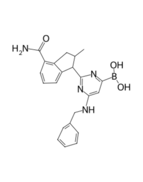 CC1Cc2c(C(N)=O)cccc2C1c1nc(NCc2ccccc2)cc(B(O)O)n1